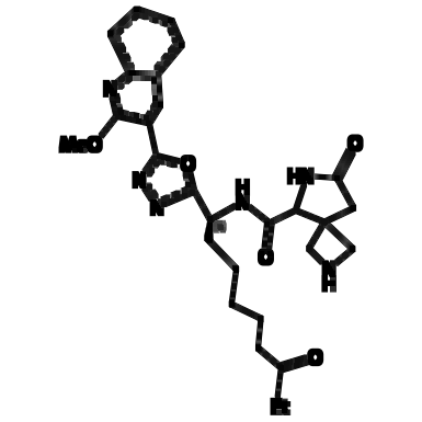 CCC(=O)CCCCC[C@H](NC(=O)C1NC(=O)CC12CNC2)c1nnc(-c2cc3ccccc3nc2OC)o1